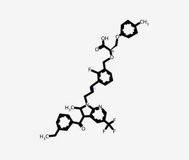 CCc1cccc(C(=O)C2c3cc(C(F)(F)F)cnc3N(C/C=C/c3cccc(CO[C@H](COc4ccc(C)cc4)C(=O)O)c3F)C2C)c1